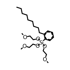 CCCCCCCCCc1ccccc1[Si](OCCOC)(OCCOC)OCCOC